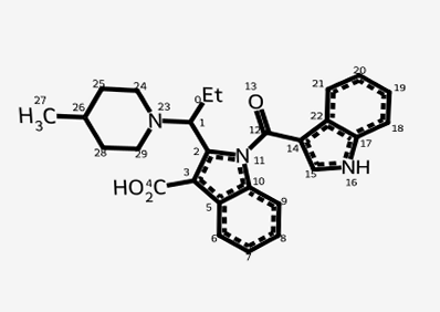 CCC(c1c(C(=O)O)c2ccccc2n1C(=O)c1c[nH]c2ccccc12)N1CCC(C)CC1